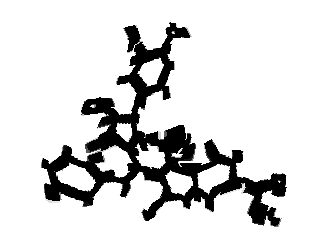 N#Cc1ccc(-c2[nH]c([C@H](Cc3ccccc3)N3CC=C4CC(C(N)=O)CCC4=C3N)nc2Cl)cc1F